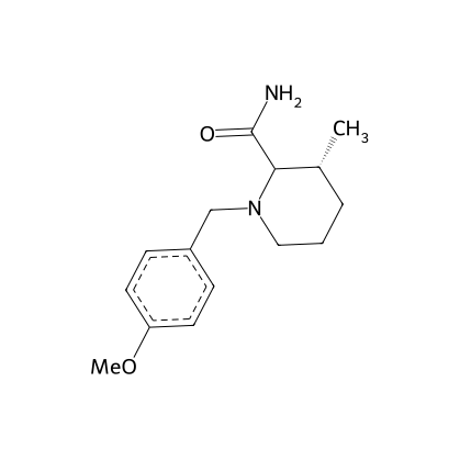 COc1ccc(CN2CCC[C@@H](C)C2C(N)=O)cc1